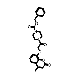 Cc1cc(=O)oc2c(OCC(=O)N3CCN(C(=O)OCc4ccccc4)CC3)cccc12